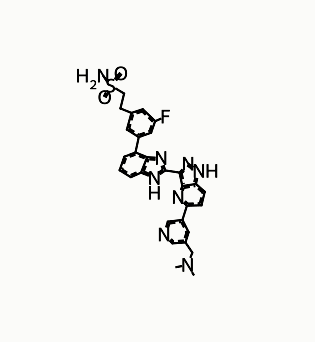 CN(C)Cc1cncc(-c2ccc3[nH]nc(-c4nc5c(-c6cc(F)cc(CCS(N)(=O)=O)c6)cccc5[nH]4)c3n2)c1